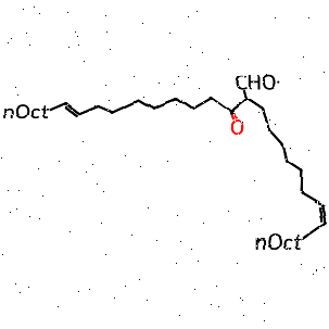 CCCCCCCCC=CCCCCCCCC(=O)C([C]=O)CCCCCC/C=C\CCCCCCCC